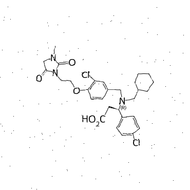 CN1CC(=O)N(CCOc2ccc(CN(CC3CCCCC3)[C@H](CC(=O)O)c3ccc(Cl)cc3)cc2Cl)C1=O